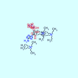 CCCC[N+](CCCC)(CCCC)CCCC.CCCC[N+](CCCC)(CCCC)CCCC.CCCC[N+](CCCC)(CCCC)CCCC.Nc1ncnc2c1ncn2[C@@H]1O[C@H](COP(=O)(O)OP(=O)([O-])OP(=O)([O-])[O-])C(O)C1O